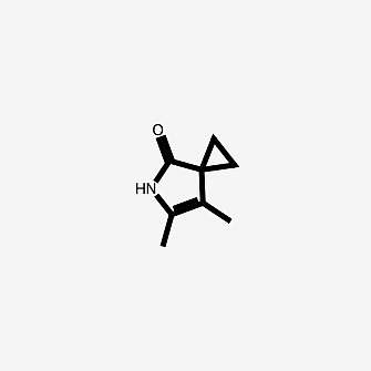 CC1=C(C)C2(CC2)C(=O)N1